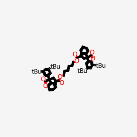 C=C(CC1(c2ccccc2)C(=O)Oc2c(C(C)(C)C)cc(C(C)(C)C)cc21)C(=O)OCCCCCCOC(=O)C(=C)CC1(c2ccccc2)C(=O)Oc2c(C(C)(C)C)cc(C(C)(C)C)cc21